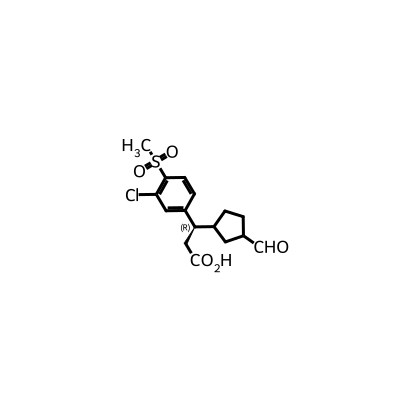 CS(=O)(=O)c1ccc([C@H](CC(=O)O)C2CCC(C=O)C2)cc1Cl